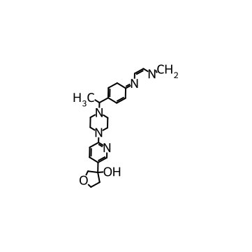 C=N/C=C\N=C1\C=CC(C(C)N2CCN(c3ccc(C4(O)CCOC4)cn3)CC2)=CC1